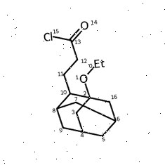 CCOC12CC3CC(CC(C3)C1CCC(=O)Cl)C2